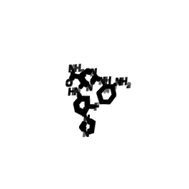 NC(=O)c1cnc(N[C@@H]2CCCC[C@@H]2N)nc1Nc1ccc(-n2ccnc2)c(F)c1